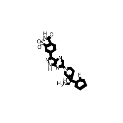 NC[C@]1(c2ccccc2F)[C@@H]2CCN(c3cnc4c(-c5ccc6c(c5)S(=O)(=O)NC6=O)n[nH]c4n3)C[C@@H]21